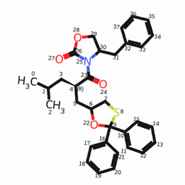 CC(C)C[C@H](CC1CSC(c2ccccc2)(c2ccccc2)O1)C(=O)N1C(=O)OCC1Cc1ccccc1